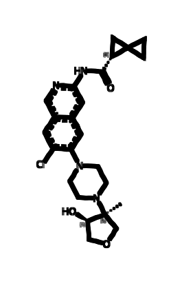 C[C@]1(N2CCN(c3cc4cc(NC(=O)[C@@H]5CC56CC6)ncc4cc3Cl)CC2)COC[C@H]1O